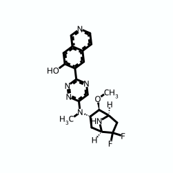 CO[C@H]1[C@H]2CC(F)(F)[C@@H](C[C@@H]1N(C)c1cnc(-c3cc4ccncc4cc3O)nn1)N2